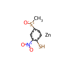 C[S+]([O-])c1ccc(S)c([N+](=O)[O-])c1.[Zn]